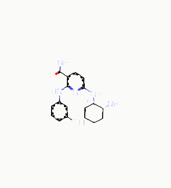 Cc1cccc(Nc2nc(N[C@@H]3CCCC[C@@H]3N)ccc2C(N)=O)c1